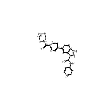 O=C(Nc1ccncc1)c1n[nH]c2ccc(-c3ccc(C(=O)N4CCNCC4)cc3)cc12